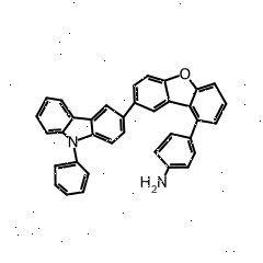 Nc1ccc(-c2cccc3oc4ccc(-c5ccc6c(c5)c5ccccc5n6-c5ccccc5)cc4c23)cc1